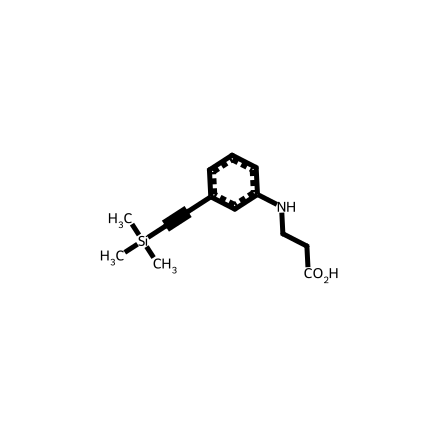 C[Si](C)(C)C#Cc1cccc(NCCC(=O)O)c1